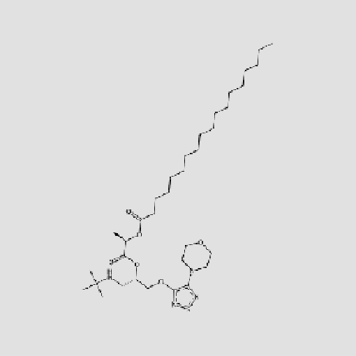 CCCCCCCCCCCCCCCCCC(=O)O[C@H](C)C(=O)O[C@@H](CNC(C)(C)C)COc1nsnc1N1CCOCC1